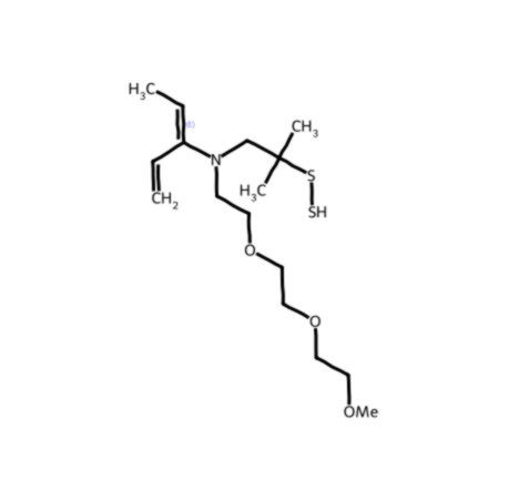 C=C/C(=C\C)N(CCOCCOCCOC)CC(C)(C)SS